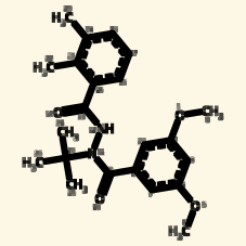 COc1cc(OC)cc(C(=O)N(NC(=O)c2cccc(C)c2C)C(C)(C)C)c1